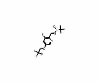 CC(C)(C)[S+]([O-])/N=C/c1ncc(OCC(F)(F)F)cc1F